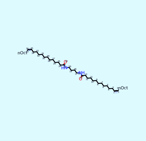 CCCCCCCC/C=C\CCCCCCCCCCCC(=O)NCCCCNC(=O)CCCCCCCCCCC/C=C\CCCCCCCC